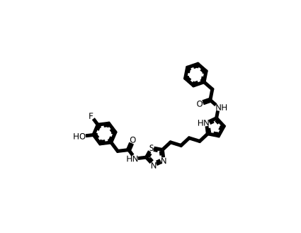 O=C(Cc1ccccc1)Nc1ccc(CCCCc2nnc(NC(=O)Cc3ccc(F)c(O)c3)s2)[nH]1